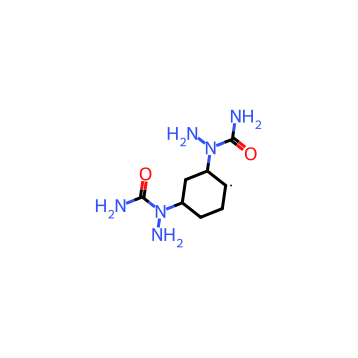 NC(=O)N(N)C1[CH]CCC(N(N)C(N)=O)C1